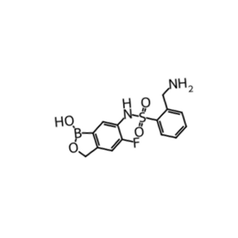 NCc1ccccc1S(=O)(=O)Nc1cc2c(cc1F)COB2O